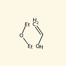 C=CO.CCOCC